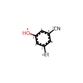 CCc1cc(O)cc(C#N)c1